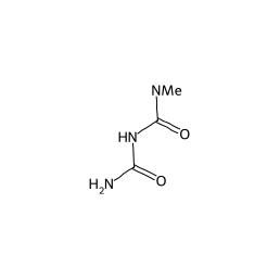 [CH2]NC(=O)NC(N)=O